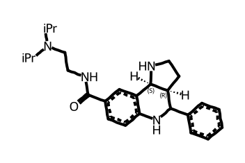 CC(C)N(CCNC(=O)c1ccc2c(c1)[C@H]1NCC[C@H]1C(c1ccccc1)N2)C(C)C